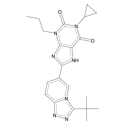 CCCn1c(=O)n(C2CC2)c(=O)c2[nH]c(-c3ccc4nnc(C(C)(C)C)n4c3)nc21